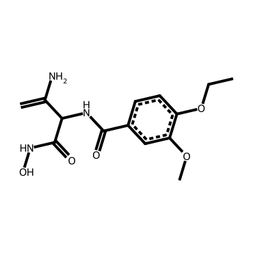 C=C(N)C(NC(=O)c1ccc(OCC)c(OC)c1)C(=O)NO